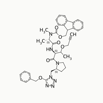 C#CCOC(C)[C@H](NC(=O)[C@H](C)N(C)C(=O)OCC1c2ccccc2-c2ccccc21)C(=O)N1CCC[C@H]1Cn1nnnc1OCc1ccccc1